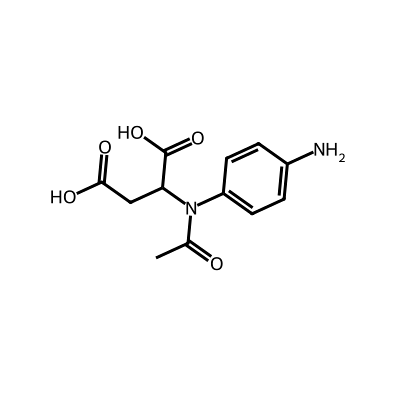 CC(=O)N(c1ccc(N)cc1)C(CC(=O)O)C(=O)O